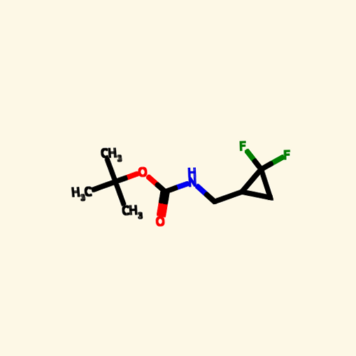 CC(C)(C)OC(=O)NCC1CC1(F)F